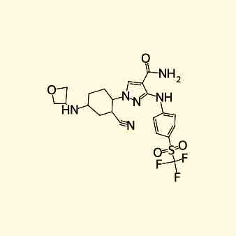 N#CC1CC(NC2COC2)CCC1n1cc(C(N)=O)c(Nc2ccc(S(=O)(=O)C(F)(F)F)cc2)n1